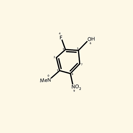 CNc1cc(F)c(O)cc1[N+](=O)[O-]